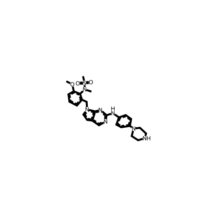 COc1cccc(Cn2ccc3cnc(Nc4ccc(N5CCNCC5)cc4)nc32)c1N(C)S(C)(=O)=O